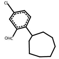 O=Cc1cc(Cl)ccc1C1CCCCCCC1